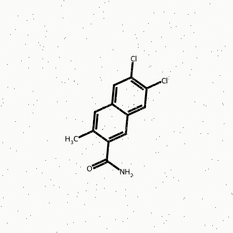 Cc1cc2cc(Cl)c(Cl)cc2cc1C(N)=O